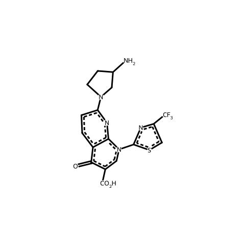 NC1CCN(c2ccc3c(=O)c(C(=O)O)cn(-c4nc(C(F)(F)F)cs4)c3n2)C1